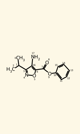 CC(C)c1noc(C(=O)Oc2ccccc2)c1N